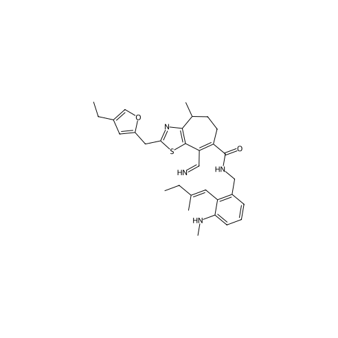 CC/C(C)=C/c1c(CNC(=O)C2=C(C=N)c3sc(Cc4cc(CC)co4)nc3C(C)CC2)cccc1NC